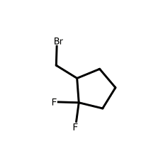 FC1(F)CCCC1CBr